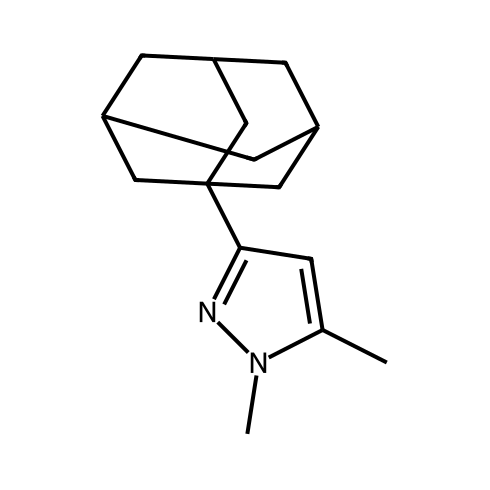 Cc1cc(C23CC4CC(CC(C4)C2)C3)nn1C